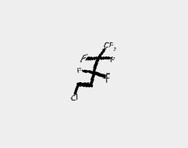 FC(F)(F)C(F)(F)C(F)(F)C=CCl